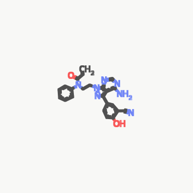 C=CC(=O)N(CCn1nc(-c2ccc(O)c(C#N)c2)c2c(N)ncnc21)c1ccccc1